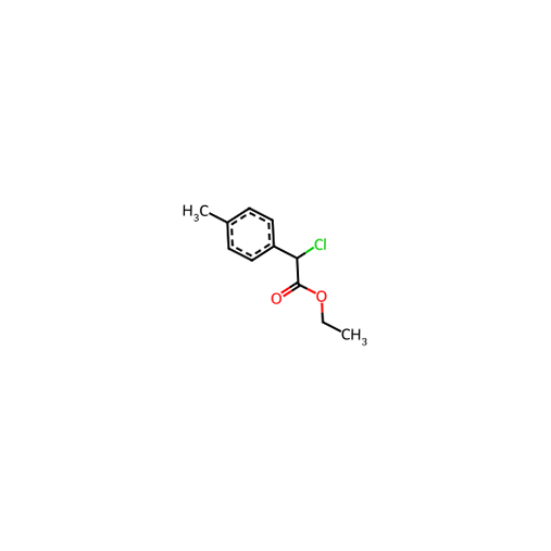 CCOC(=O)C(Cl)c1ccc(C)cc1